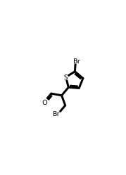 O=CC(CBr)c1ccc(Br)s1